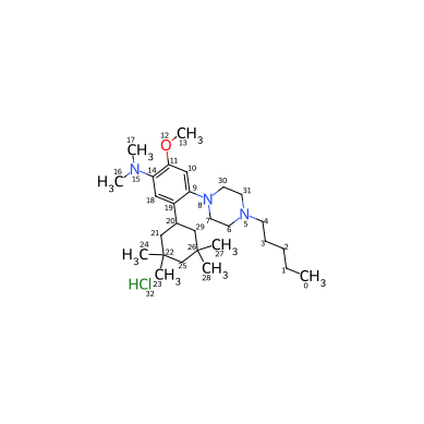 CCCCCN1CCN(c2cc(OC)c(N(C)C)cc2C2CC(C)(C)CC(C)(C)C2)CC1.Cl